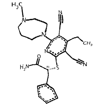 CCc1c(C#N)c(S[C@@H](C(N)=O)c2ccccc2)nc(N2CCCN(C)CC2)c1C#N